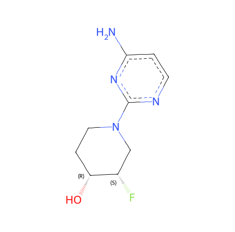 Nc1ccnc(N2CC[C@@H](O)[C@@H](F)C2)n1